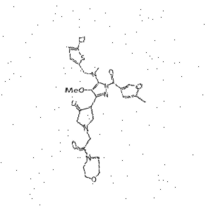 COc1c(C2CN(CC(=O)N3CCOCC3)CC2=O)nn(C(=O)c2coc(C)c2)c1N(C)Cc1ccc(Cl)s1